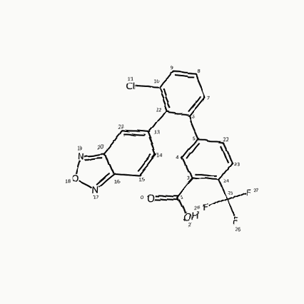 O=C(O)c1cc(-c2cccc(Cl)c2-c2ccc3nonc3c2)ccc1C(F)(F)F